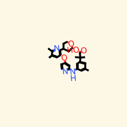 Cc1cc(Nc2cc(Oc3cc(C)c(C)nc3C3CCOCC3)ccn2)cc(C(C)(C)C(=O)O)c1